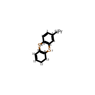 CC(C)c1ccc2c(c1)SC1=C(C=CCC1)S2